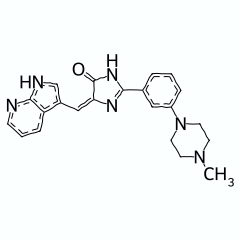 CN1CCN(c2cccc(C3=NC(=Cc4c[nH]c5ncccc45)C(=O)N3)c2)CC1